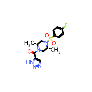 C[C@@H]1CN(C(=O)c2cnn[nH]2)[C@@H](C)CN1S(=O)(=O)c1ccc(F)cc1